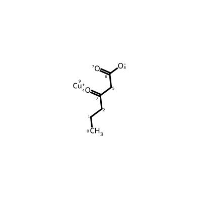 CCCC(=O)CC(=O)[O-].[Cu+]